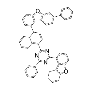 C1=CC2=C(c3nc(-c4ccccc4)nc(-c4cccc5oc6c(c45)CCC=C6)n3)C=CC(c3cccc4oc5cc(-c6ccccc6)ccc5c34)C2C=C1